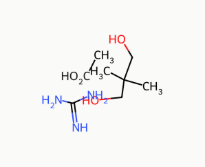 CC(=O)O.CC(C)(CO)CO.N=C(N)N